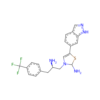 NC1SC(c2ccc3cn[nH]c3c2)=CN1C[C@H](N)Cc1ccc(C(F)(F)F)cc1